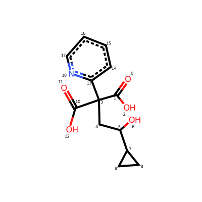 O=C(O)C(CC(O)C1CC1)(C(=O)O)c1ccccn1